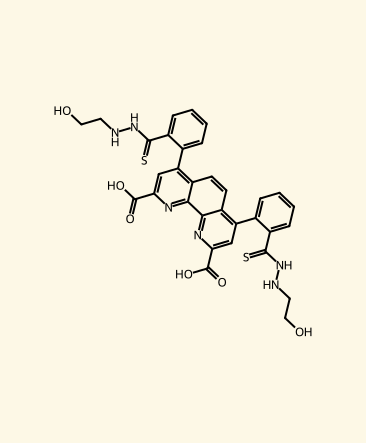 O=C(O)c1cc(-c2ccccc2C(=S)NNCCO)c2ccc3c(-c4ccccc4C(=S)NNCCO)cc(C(=O)O)nc3c2n1